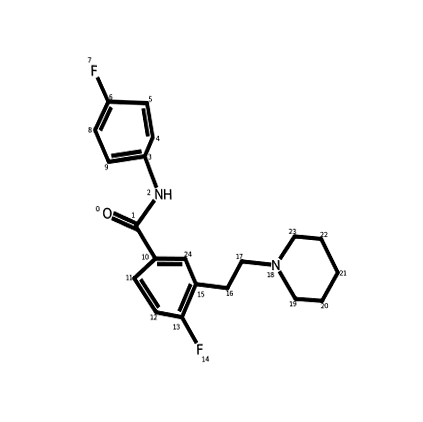 O=C(Nc1ccc(F)cc1)c1ccc(F)c(CCN2CCCCC2)c1